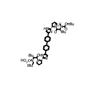 CCC(C)[C@@H](C(=O)N1CCC[C@H]1c1nc(-c2ccc(-c3ccc(-c4cnc([C@@H]5CCCN5C(=O)[C@H](C(C)CC)N(CC(C)(C)C)C(=O)O)[nH]4)cc3)cc2)c[nH]1)N(C)C(=O)OC(C)(C)C